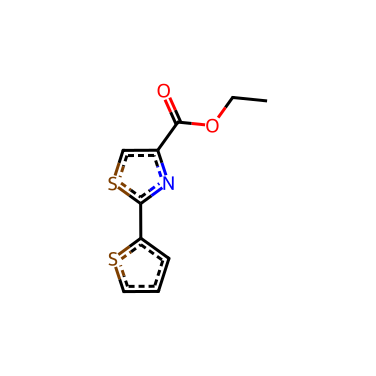 CCOC(=O)c1csc(-c2cccs2)n1